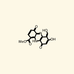 COC(=O)c1ccc(=O)c2nc3/c(=C\O)c(O)cc(=O)c3[nH]c12